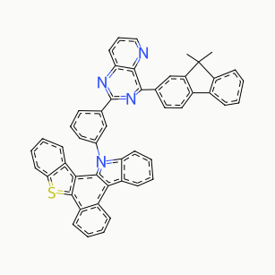 CC1(C)c2ccccc2-c2ccc(-c3nc(-c4cccc(-n5c6ccccc6c6c7ccccc7c7sc8ccccc8c7c65)c4)nc4cccnc34)cc21